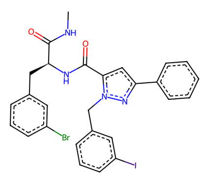 CNC(=O)[C@H](Cc1cccc(Br)c1)NC(=O)c1cc(-c2ccccc2)nn1Cc1cccc(I)c1